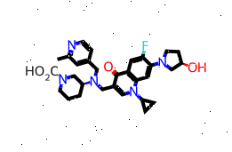 Cc1cc(CN(Cc2cn(C3CC3)c3cc(N4CC[C@@H](O)C4)c(F)cc3c2=O)[C@H]2CCCN(C(=O)O)C2)ccn1